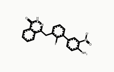 Nc1ccc(-c2cccc(Cc3n[nH]c(=O)c4ccccc34)c2F)cc1[N+](=O)[O-]